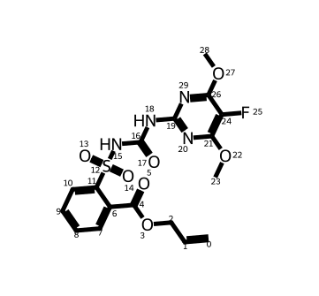 C=CCOC(=O)c1ccccc1S(=O)(=O)NC(=O)Nc1nc(OC)c(F)c(OC)n1